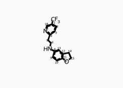 FC(F)(F)c1ccc(CCNc2ccc3c(c2)CCO3)nc1